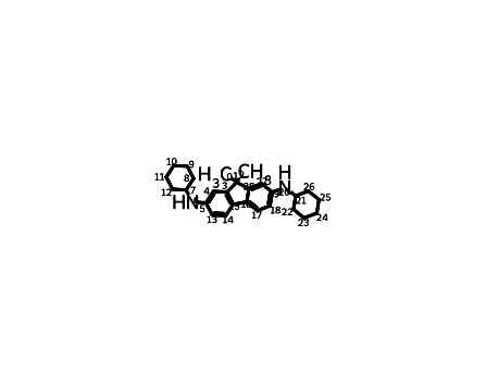 CC1(C)c2cc(NC3CCCCC3)ccc2-c2ccc(NC3CCCCC3)cc21